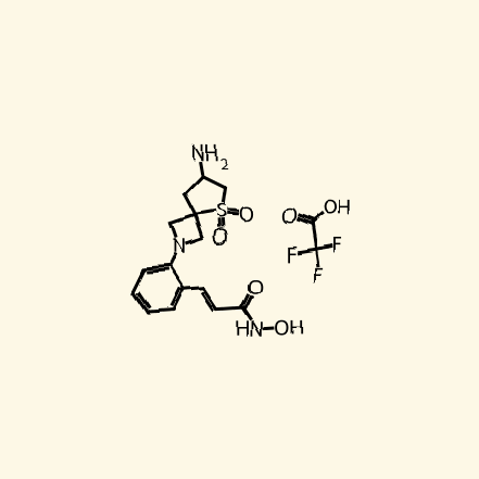 NC1CC2(CN(c3ccccc3C=CC(=O)NO)C2)S(=O)(=O)C1.O=C(O)C(F)(F)F